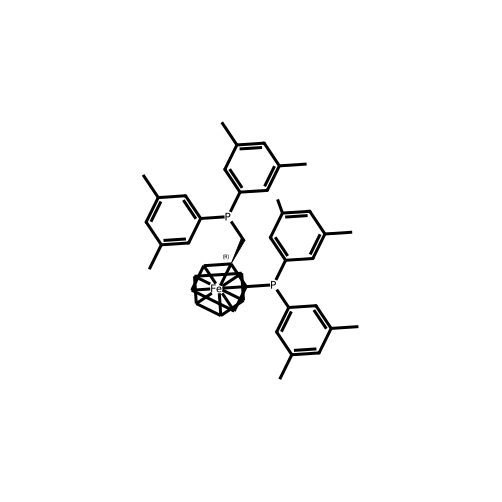 Cc1cc(C)cc(P(C[C@@]23[CH]4[CH]5[CH]6[C]2(P(c2cc(C)cc(C)c2)c2cc(C)cc(C)c2)[Fe]56432789[CH]3[CH]2[CH]7[CH]8[CH]39)c2cc(C)cc(C)c2)c1